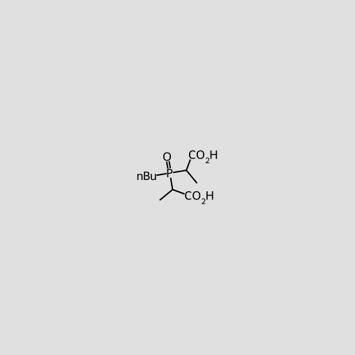 CCCCP(=O)(C(C)C(=O)O)C(C)C(=O)O